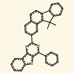 CC1(C)c2ccccc2-c2ccc3ccc(-c4nc(-c5ccccc5)c5oc6ccccc6c5n4)cc3c21